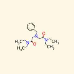 CCN(CC)C(=O)CN(CC(=O)N(CC)CC)Cc1ccccc1